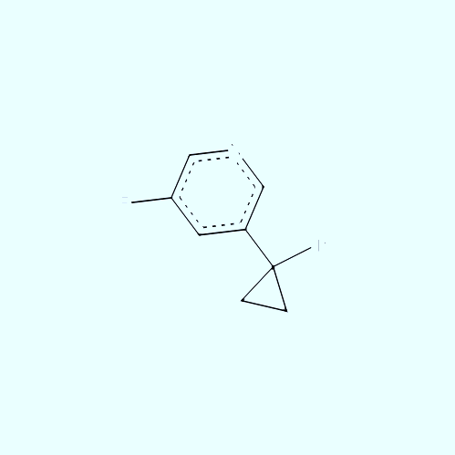 CC(C)C1(c2cncc(F)c2)CC1